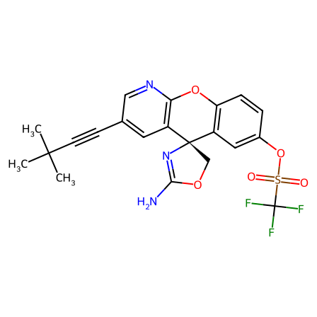 CC(C)(C)C#Cc1cnc2c(c1)[C@]1(COC(N)=N1)c1cc(OS(=O)(=O)C(F)(F)F)ccc1O2